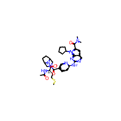 CSCC[C@@H](NC(C)=O)C(=O)N1C2CCC1CN(C(=O)c1ccc(Nc3ncc4cc(C(=O)N(C)C)n(C5CCCC5)c4n3)nc1)C2